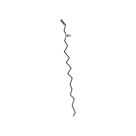 C=CCNCCCCCCCCCCCCCCC